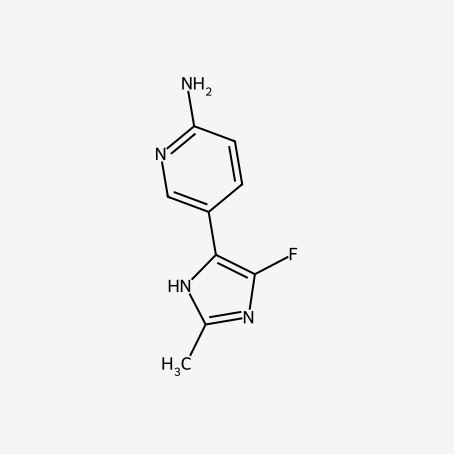 Cc1nc(F)c(-c2ccc(N)nc2)[nH]1